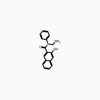 NCN(C(=O)c1cc2ccccc2cc1O)c1ccccc1